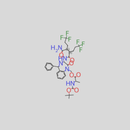 CC(NC(=O)OC(C)(C)C)C(=O)OCN1C(=O)C(NC(=O)[C@H](CCC(F)(F)F)[C@H](CCC(F)(F)F)C(N)=O)N=C(c2ccccc2)c2ccccc21